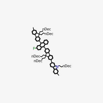 CCCCCCCCCCCCn1c2cc(C)ccc2c2ccc(-c3ccc4c(c3)C(CCCCCCCCCCCC)(CCCCCCCCCCCC)c3cc(-c5c6ccccc6c(-c6ccc7c(c6)C(CCCCCCCCCCCC)(CCCCCCCCCCCC)c6cc(C)ccc6-7)c6cc(F)ccc56)ccc3-4)cc21